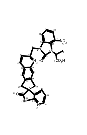 CC(C(=O)O)n1c(=O)n(Cc2ccc3cc4c(cc3n2)C[C@]2(C4)C(=O)Nc3ncccc32)c2cccc([N+](=O)[O-])c21